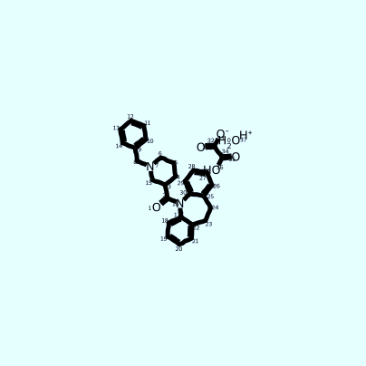 O.O=C(C1CCCN(Cc2ccccc2)C1)N1c2ccccc2CCc2ccccc21.O=C([O-])C(=O)O.[H+]